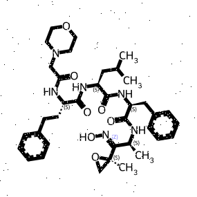 CC(C)C[C@H](NC(=O)[C@H](CCc1ccccc1)NC(=O)CN1CCOCC1)C(=O)N[C@@H](Cc1ccccc1)C(=O)N[C@@H](C)/C(=N/O)[C@@]1(C)CO1